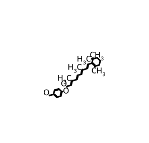 CC1=C(/C=C/C(C)=C/C=C/C(C)=C/C(=O)Oc2ccc(C=O)cc2)C(C)(C)CCC1